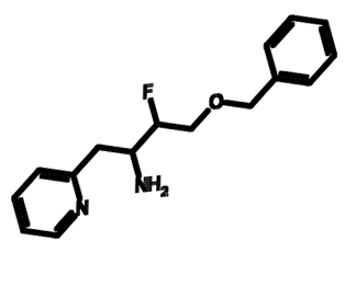 NC(Cc1ccccn1)C(F)COCc1ccccc1